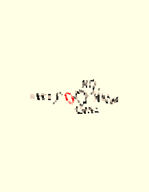 CCOC(=O)COc1cc([N+](=O)[O-])c(C(C)NC)cc1OC